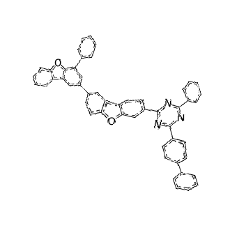 c1ccc(-c2ccc(-c3nc(-c4ccccc4)nc(-c4ccc5c(c4)oc4ccc(-c6cc(-c7ccccc7)c7oc8ccccc8c7c6)cc45)n3)cc2)cc1